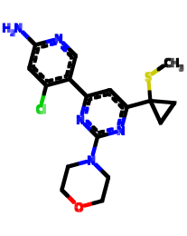 CSC1(c2cc(-c3cnc(N)cc3Cl)nc(N3CCOCC3)n2)CC1